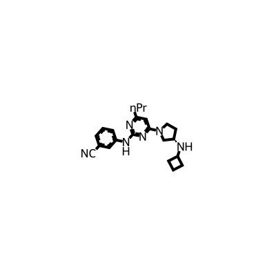 CCCc1cc(N2CC[C@H](NC3CCC3)C2)nc(Nc2cccc(C#N)c2)n1